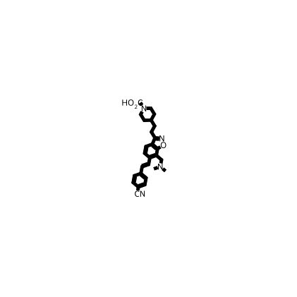 CN(C)Cc1c(C=Cc2ccc(C#N)cc2)ccc2c(CCC3CCN(C(=O)O)CC3)noc12